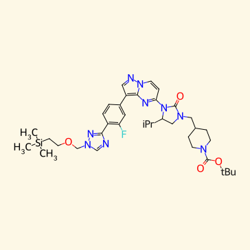 CC(C)C1CN(CC2CCN(C(=O)OC(C)(C)C)CC2)C(=O)N1c1ccn2ncc(-c3ccc(-c4ncn(COCC[Si](C)(C)C)n4)c(F)c3)c2n1